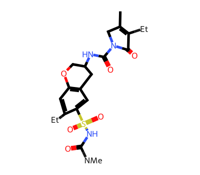 CCC1=C(C)CN(C(=O)NC2COc3cc(CC)c(S(=O)(=O)NC(=O)NC)cc3C2)C1=O